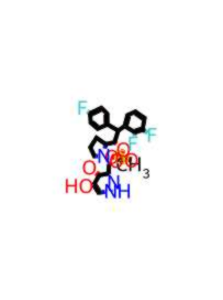 CS(=O)(=O)OC(C(c1ccc(F)cc1)c1cccc(F)c1F)C1CCCN1C(=O)c1n[nH]cc(O)c1=O